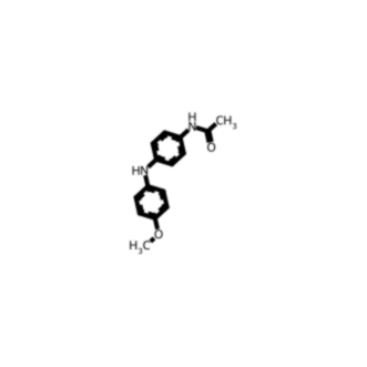 COc1ccc(Nc2ccc(NC(C)=O)cc2)cc1